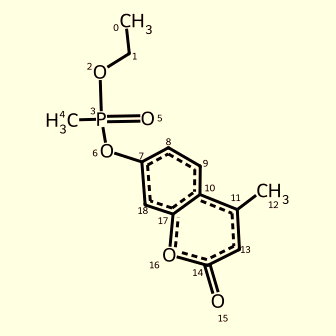 CCOP(C)(=O)Oc1ccc2c(C)cc(=O)oc2c1